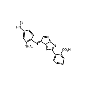 CCNc1ccc(N=C2C=Nn3nc(-c4ccccc4C(=O)O)nc32)c(NC(C)=O)c1